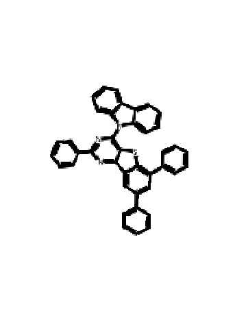 c1ccc(-c2cc(-c3ccccc3)c3sc4c(-n5c6ccccc6c6ccccc65)nc(-c5ccccc5)nc4c3c2)cc1